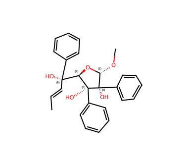 CC=C[C@@](O)(c1ccccc1)[C@H]1O[C@H](OC)[C@@](O)(c2ccccc2)[C@@]1(O)c1ccccc1